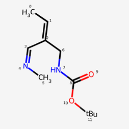 C/C=C(\C=N/C)CNC(=O)OC(C)(C)C